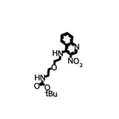 CC(C)(C)OC(=O)NCCOCCNc1c([N+](=O)[O-])cnc2ccccc12